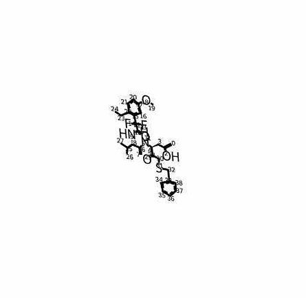 C=C(O)C[C@H](NC(=C)[C@@H](NC(=O)C(F)(F)c1cc(OC)ccc1CC)C(C)C)C(=O)CSCc1ccccc1